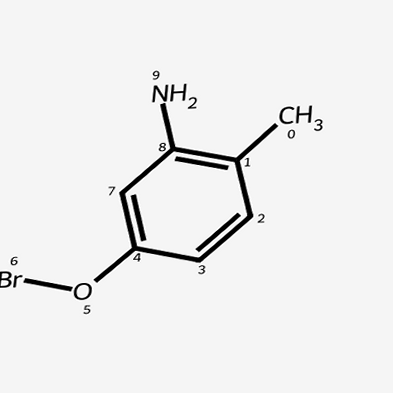 Cc1ccc(OBr)cc1N